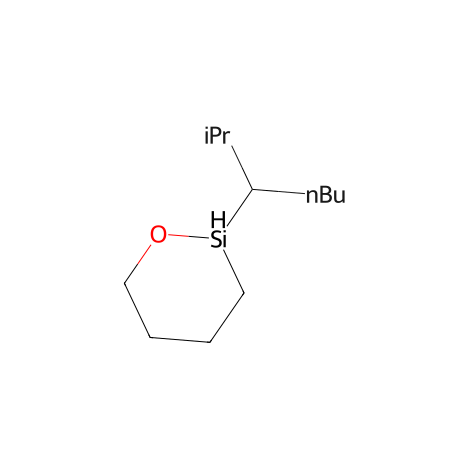 CCCCC(C(C)C)[SiH]1CCCCO1